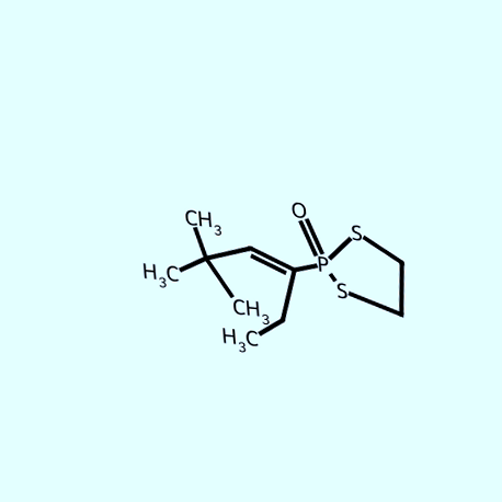 CC/C(=C\C(C)(C)C)P1(=O)SCCS1